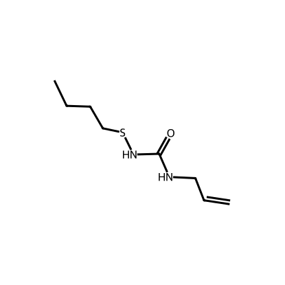 C=CCNC(=O)NSCCCC